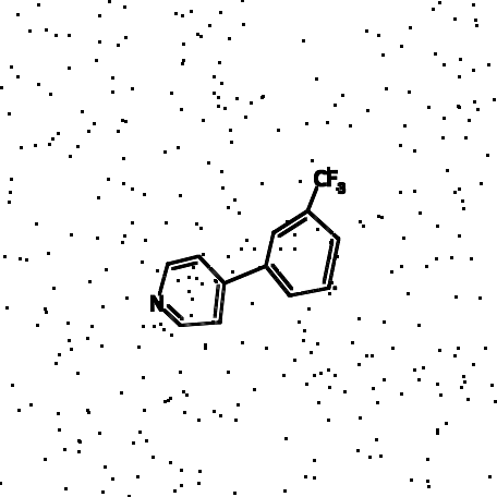 FC(F)(F)c1c[c]cc(-c2ccncc2)c1